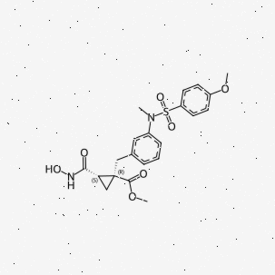 COC(=O)[C@@]1(Cc2cccc(N(C)S(=O)(=O)c3ccc(OC)cc3)c2)C[C@@H]1C(=O)NO